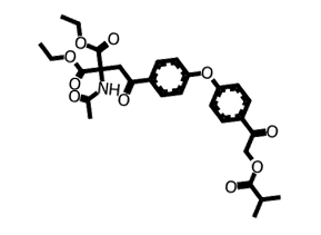 CCOC(=O)C(CC(=O)c1ccc(Oc2ccc(C(=O)COC(=O)C(C)C)cc2)cc1)(NC(C)=O)C(=O)OCC